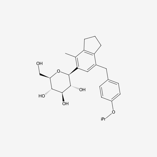 Cc1c([C@@H]2O[C@H](CO)[C@@H](O)[C@H](O)[C@H]2O)cc(Cc2ccc(OC(C)C)cc2)c2c1CCC2